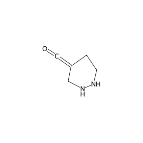 O=C=C1CCNNC1